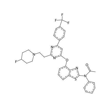 CC(=O)N(c1ccccc1)c1nc2c(Oc3cc(-c4ccc(C(F)(F)F)cc4)nc(CCN4CCC(F)CC4)n3)cccc2s1